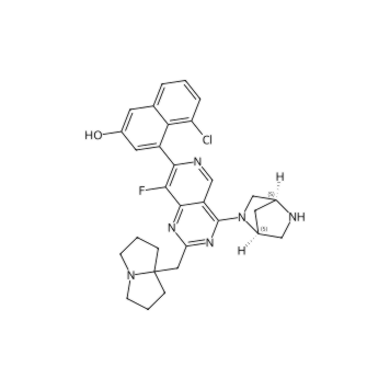 Oc1cc(-c2ncc3c(N4C[C@@H]5C[C@H]4CN5)nc(CC45CCCN4CCC5)nc3c2F)c2c(Cl)cccc2c1